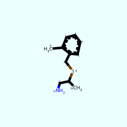 Cc1ccccc1CSC(C)CN